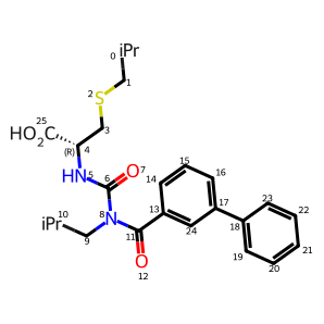 CC(C)CSC[C@H](NC(=O)N(CC(C)C)C(=O)c1cccc(-c2ccccc2)c1)C(=O)O